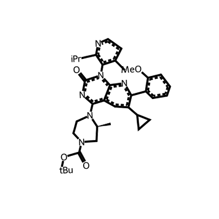 COc1ccccc1-c1nc2c(cc1C1CC1)c(N1CCN(C(=O)OC(C)(C)C)C[C@@H]1C)nc(=O)n2-c1c(C)ccnc1C(C)C